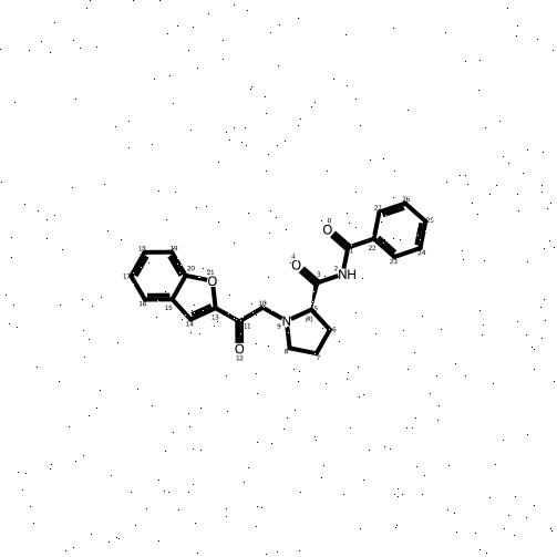 O=C(NC(=O)[C@H]1CCCN1CC(=O)c1cc2ccccc2o1)c1ccccc1